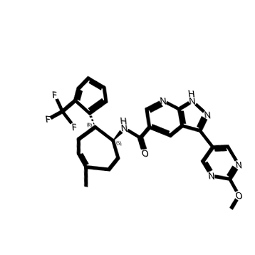 COc1ncc(-c2n[nH]c3ncc(C(=O)N[C@H]4CCC(C)=CC[C@@H]4c4ccccc4C(F)(F)F)cc23)cn1